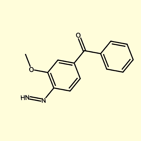 COc1cc(C(=O)c2ccccc2)ccc1N=N